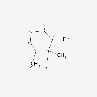 CC1CCC[C](F)C1(C)F